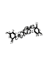 Cc1ccc(OP2OCC3(CO2)COP(Oc2ccc(C)cc2C)OC3)c(C)c1